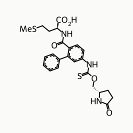 CSCC[C@H](NC(=O)c1ccc(NC(=S)OC[C@@H]2CCC(=O)N2)cc1-c1ccccc1)C(=O)O